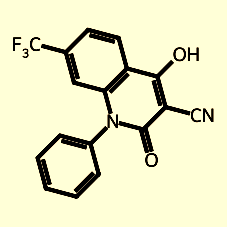 N#Cc1c(O)c2ccc(C(F)(F)F)cc2n(-c2ccccc2)c1=O